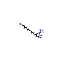 CCCC/C=C/CCCCCCCCCCCC1=NCCN1CCN